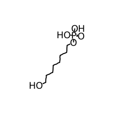 O=P(O)(O)OCCCCCCCCO